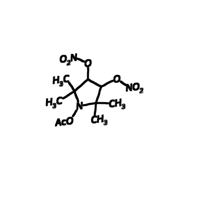 CC(=O)ON1C(C)(C)C(O[N+](=O)[O-])C(O[N+](=O)[O-])C1(C)C